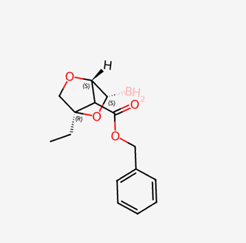 B[C@@H]1O[C@@]2(CC)CO[C@H]1C2C(=O)OCc1ccccc1